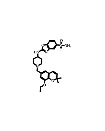 CCOc1cc(CN2CCC(Nc3nc4cc(S(N)(=O)=O)ccc4o3)CC2)cc2c1OC(C)(C)C=C2